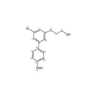 CCc1cc(SCCO)nc(-c2ccc(OC)nc2)c1